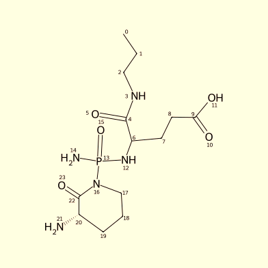 CCCNC(=O)C(CCC(=O)O)NP(N)(=O)N1CCC[C@H](N)C1=O